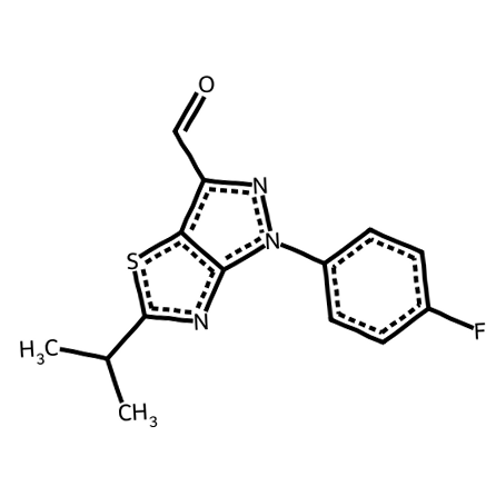 CC(C)c1nc2c(s1)c(C=O)nn2-c1ccc(F)cc1